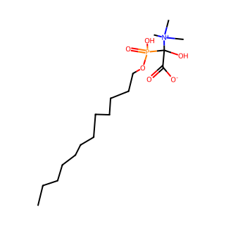 CCCCCCCCCCCCOP(=O)(O)C(O)(C(=O)[O-])[N+](C)(C)C